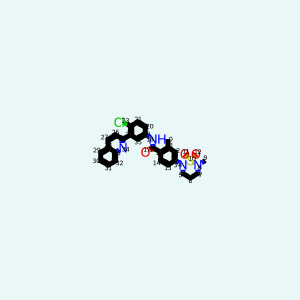 Cc1cc(N2CCCN(C)S2(=O)=O)ccc1C(=O)Nc1ccc(Cl)c(-c2ccc3ccccc3n2)c1